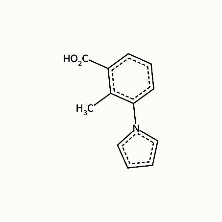 Cc1c(C(=O)O)cccc1-n1cccc1